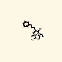 CCOC(=O)C(CCCc1ccccc1)CP(=O)(CO)OCC